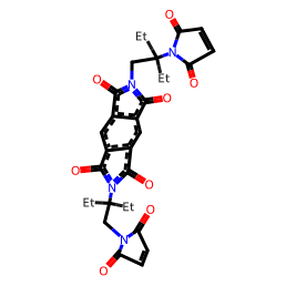 CCC(CC)(Cn1c(=O)c2cc3c(=O)n(C(CC)(CC)CN4C(=O)C=CC4=O)c(=O)c3cc2c1=O)N1C(=O)C=CC1=O